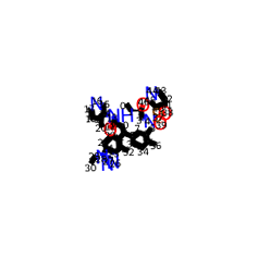 CC[C@@H]1CN(Cc2cc(C(CC(=O)Nc3cnccc3C)c3ccc4c(nnn4CC)c3C)ccc2C)S(=O)(=O)c2cccnc2O1